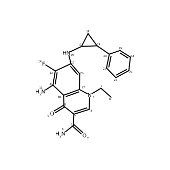 CCn1cc(C(N)=O)c(=O)c2c(N)c(F)c(NC3CC3c3ccccc3)cc21